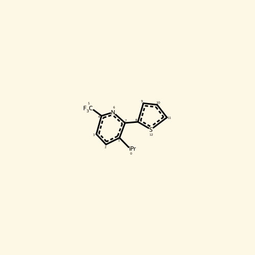 CC(C)c1ccc(C(F)(F)F)nc1-c1cccs1